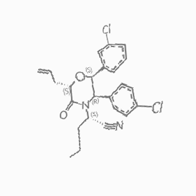 C=CC[C@@H]1O[C@@H](c2cccc(Cl)c2)[C@@H](c2ccc(Cl)cc2)N([C@H](C#N)CCC)C1=O